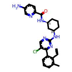 C=Cc1c(C)cccc1-c1nc(N[C@@H]2CCC[C@H](NC(=O)c3ccc(N)cn3)C2)ncc1Cl